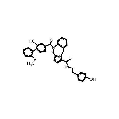 COc1ccccc1-c1ccc(C(=O)N2Cc3ccc(C(=O)NCCc4ccc(O)cc4)n3Cc3ccccc32)cc1C